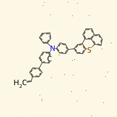 C=Cc1ccc(-c2ccc(N(c3ccccc3)c3ccc(-c4ccc5c(c4)-c4cccc6cccc(c46)S5)cc3)cc2)cc1